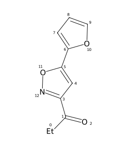 CCC(=O)c1cc(-c2ccco2)on1